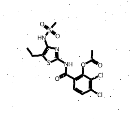 CCc1sc(NC(=O)c2ccc(Cl)c(Cl)c2OC(C)=O)nc1NS(C)(=O)=O